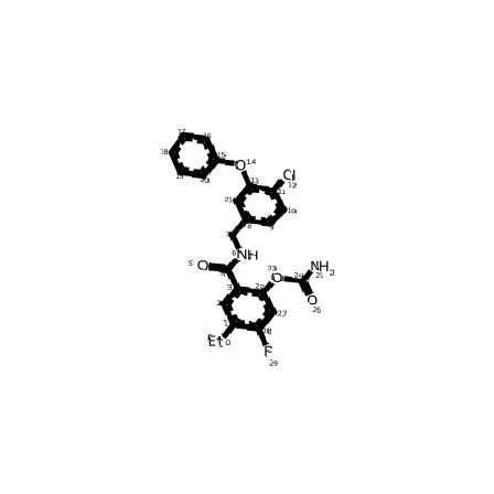 CCc1cc(C(=O)NCc2ccc(Cl)c(Oc3ccccc3)c2)c(OC(N)=O)cc1F